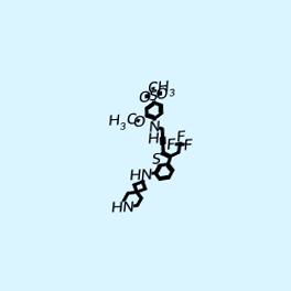 COc1cc(S(C)(=O)=O)ccc1NCC#Cc1sc2c(NC3CC4(CCNCC4)C3)cccc2c1CC(F)(F)F